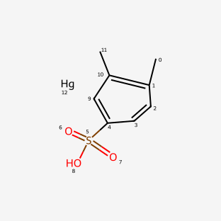 Cc1ccc(S(=O)(=O)O)cc1C.[Hg]